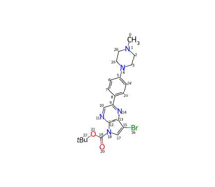 CN1CCN(c2ccc(-c3cnc4c(n3)c(Br)cn4C(=O)OC(C)(C)C)cc2)CC1